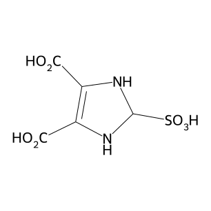 O=C(O)C1=C(C(=O)O)NC(S(=O)(=O)O)N1